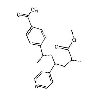 COC(=O)C(C)CC(CC(C)c1ccc(C(=O)O)cc1)c1ccncc1